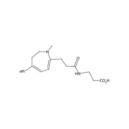 CCCC1=CC=C(CCC(=O)NCCC(=O)O)N(C)CC1